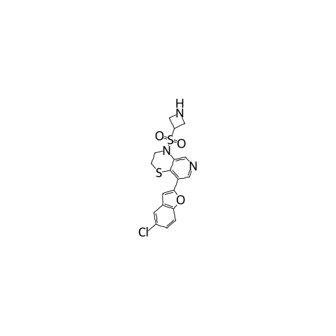 O=S(=O)(C1CNC1)N1CCSc2c(-c3cc4cc(Cl)ccc4o3)cncc21